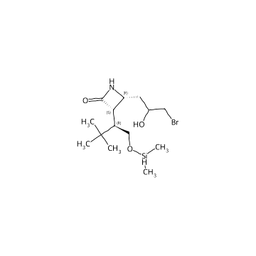 C[SiH](C)OC[C@H]([C@@H]1C(=O)N[C@@H]1CC(O)CBr)C(C)(C)C